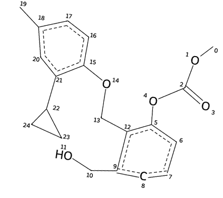 COC(=O)Oc1cccc(CO)c1COc1ccc(C)cc1C1CC1